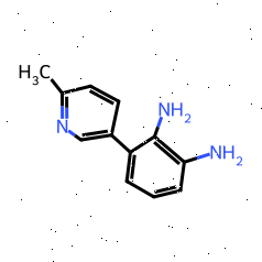 Cc1ccc(-c2cccc(N)c2N)cn1